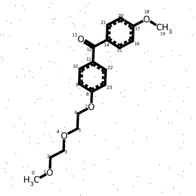 COCCOCCOc1ccc(C(=O)c2ccc(OC)cc2)cc1